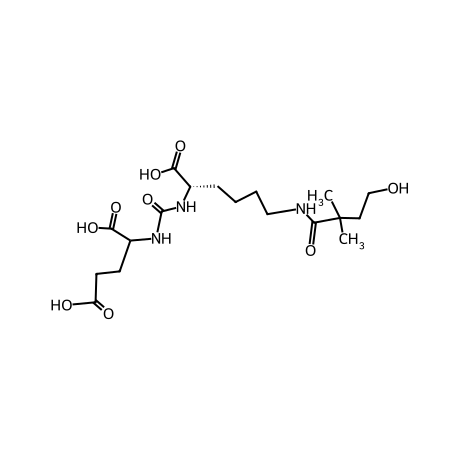 CC(C)(CCO)C(=O)NCCCC[C@H](NC(=O)NC(CCC(=O)O)C(=O)O)C(=O)O